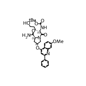 COc1ccc2c(O[C@@H]3C[C@@H](C(N)=O)N(C(=O)[C@H](CCCO)NC(=O)OC(C)(C)C)C3)cc(-c3ccccc3)nc2c1